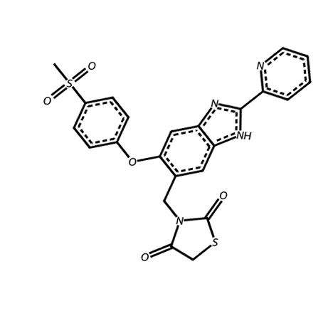 CS(=O)(=O)c1ccc(Oc2cc3nc(-c4ccccn4)[nH]c3cc2CN2C(=O)CSC2=O)cc1